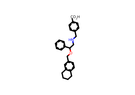 O=C(O)c1ccc(CNCC(OCc2ccc3c(c2)CCCC3)c2ccccc2)cc1